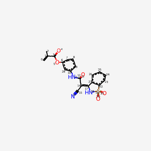 C=C(C)C(=O)Oc1cccc(NC(=O)C(C#N)=C2NS(=O)(=O)c3ccccc32)c1